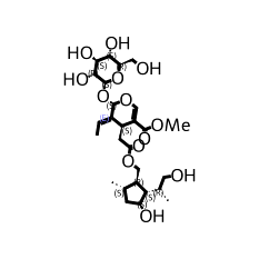 C/C=C1/[C@H](O[C@@H]2O[C@H](CO)[C@@H](O)[C@H](O)[C@H]2O)OC=C(C(=O)OC)[C@H]1CC(=O)OC[C@H]1[C@H]([C@@H](C)CO)[C@@H](O)C[C@@H]1C